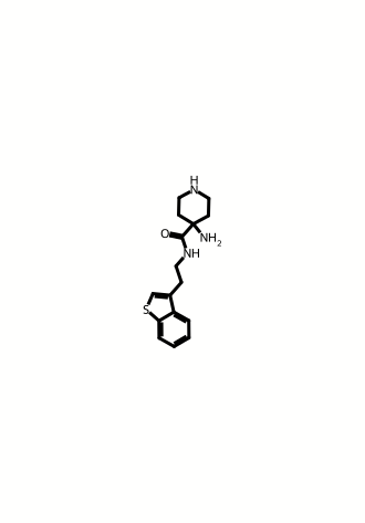 NC1(C(=O)NCCc2csc3ccccc23)CCNCC1